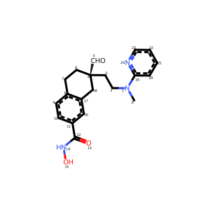 CN(CC[C@@]1(C=O)CCc2ccc(C(=O)NO)cc2C1)c1ccccn1